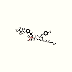 CCC(=O)O[C@@H](C[C@@H](C[C@H](OCc1ccc(OC)cc1)/C(C)=C\[C@@H](CC)COCOCCOC)O[Si](C)(C)C(C)(C)C)C(C)(C)c1cccc(C[C@@H](O)[C@H](O)C(=O)OC)c1